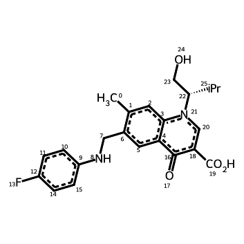 Cc1cc2c(cc1CNc1ccc(F)cc1)c(=O)c(C(=O)O)cn2[C@H](CO)C(C)C